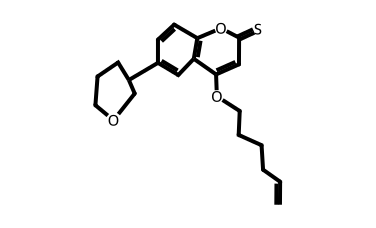 C=CCCCCOc1cc(=S)oc2ccc(C3CCCOC3)cc12